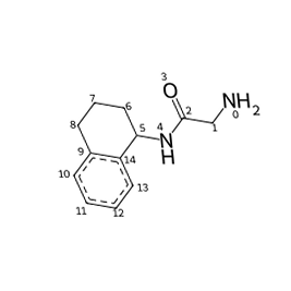 NCC(=O)NC1CCCc2ccccc21